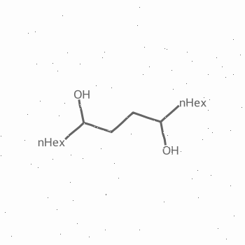 CCCCCCC(O)CCC(O)CCCCCC